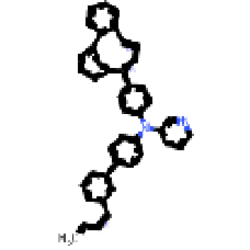 C=C/C=C\c1cccc(-c2ccc(N(c3ccc(/C4=C/C=C/c5ccccc5-c5cccc4c5)cc3)c3cccnc3)cc2)c1